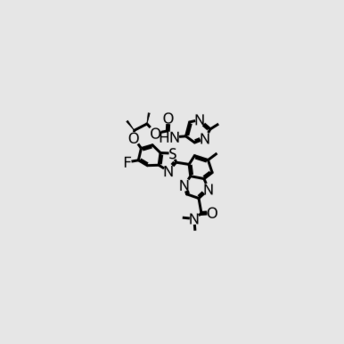 Cc1cc(-c2nc3cc(F)c(O[C@@H](C)[C@@H](C)OC(=O)Nc4cnc(C)nc4)cc3s2)c2ncc(C(=O)N(C)C)nc2c1